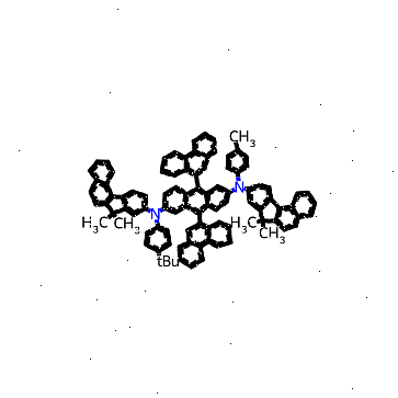 Cc1ccc(N(c2ccc3c(c2)C(C)(C)c2ccc4ccccc4c2-3)c2ccc3c(-c4cc5ccccc5c5ccccc45)c4cc(N(c5ccc(C(C)(C)C)cc5)c5ccc6c(c5)C(C)(C)c5ccc7ccccc7c5-6)ccc4c(-c4cc5ccccc5c5ccccc45)c3c2)cc1